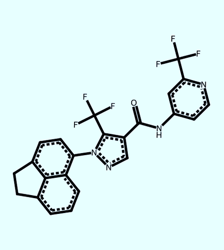 O=C(Nc1ccnc(C(F)(F)F)c1)c1cnn(-c2ccc3c4c(cccc24)CC3)c1C(F)(F)F